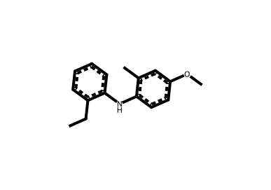 CCc1ccccc1Nc1ccc(OC)cc1C